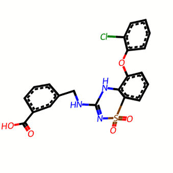 O=C(O)c1cccc(CNC2=NS(=O)(=O)c3cccc(Oc4ccccc4Cl)c3N2)c1